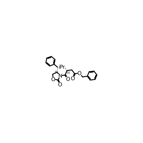 CC(C)[C@H](CC(=O)OCc1ccccc1)C(=O)N1C(=O)OC[C@@H]1Cc1ccccc1